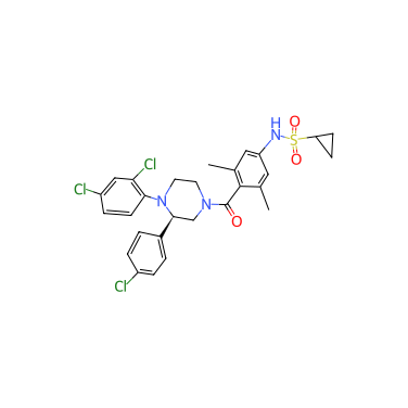 Cc1cc(NS(=O)(=O)C2CC2)cc(C)c1C(=O)N1CCN(c2ccc(Cl)cc2Cl)[C@H](c2ccc(Cl)cc2)C1